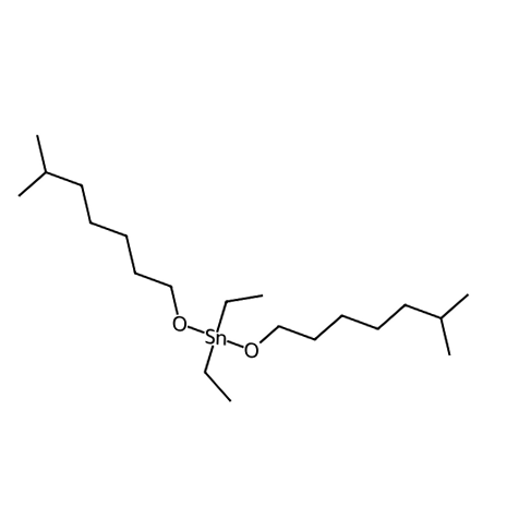 C[CH2][Sn]([CH2]C)([O]CCCCCC(C)C)[O]CCCCCC(C)C